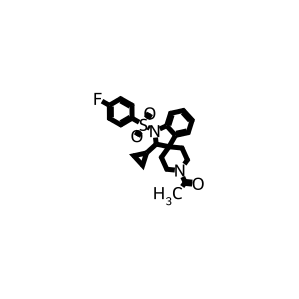 CC(=O)N1CCC2(CC1)c1ccccc1N(S(=O)(=O)c1ccc(F)cc1)C2C1CC1